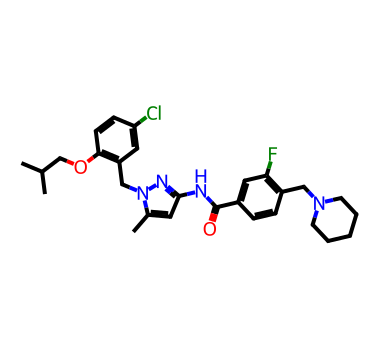 Cc1cc(NC(=O)c2ccc(CN3CCCCC3)c(F)c2)nn1Cc1cc(Cl)ccc1OCC(C)C